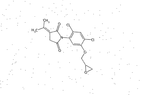 CC(C)=C1CC(=O)N(c2cc(OCC3CO3)c(Cl)cc2Cl)C1=O